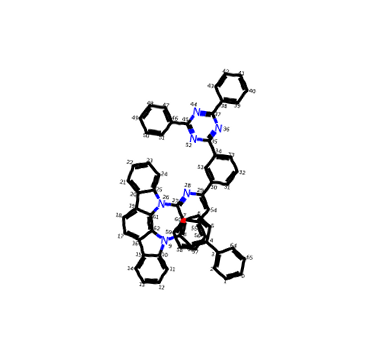 c1ccc(-c2cccc(-n3c4ccccc4c4ccc5c6ccccc6n(-c6nc(-c7cccc(-c8nc(-c9ccccc9)nc(-c9ccccc9)n8)c7)cc7ccccc67)c5c43)c2)cc1